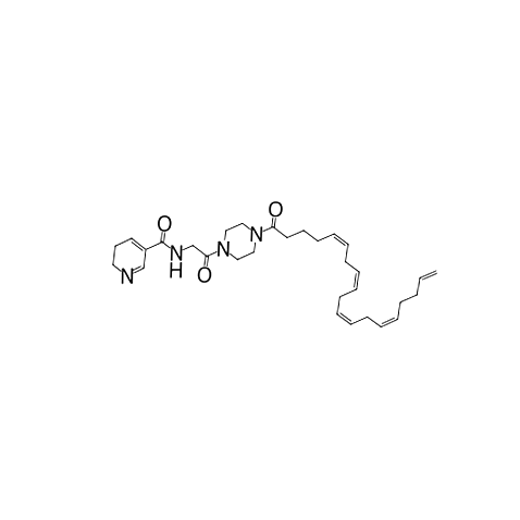 C=CCC/C=C\C/C=C\C/C=C\C/C=C\CCCC(=O)N1CCN(C(=O)CNC(=O)C2=CCCN=C2)CC1